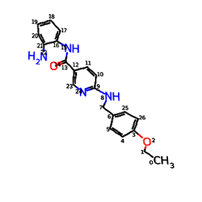 CCOc1ccc(CNc2ccc(C(=O)Nc3ccccc3N)cn2)cc1